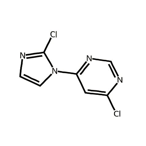 Clc1cc(-n2ccnc2Cl)ncn1